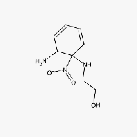 NC1C=CC=CC1(NCCO)[N+](=O)[O-]